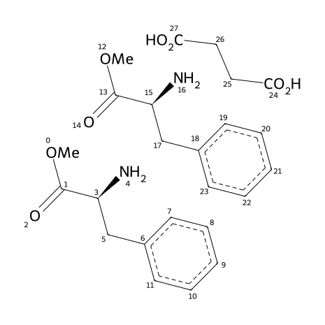 COC(=O)[C@@H](N)Cc1ccccc1.COC(=O)[C@@H](N)Cc1ccccc1.O=C(O)CCC(=O)O